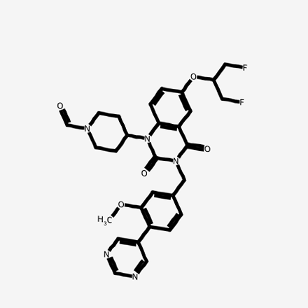 COc1cc(Cn2c(=O)c3cc(OC(CF)CF)ccc3n(C3CCN(C=O)CC3)c2=O)ccc1-c1cncnc1